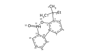 CCC(C)(C)c1cccc2c1O[PH](=O)c1ccccc1-2